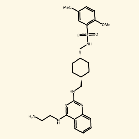 COc1ccc(OC)c(S(=O)(=O)NC[C@H]2CC[C@H](CNc3nc(NCCN)c4ccccc4n3)CC2)c1